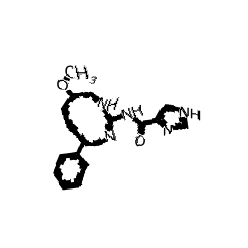 COc1ccc(-c2ccccc2)cnc(NC(=O)c2c[nH]cn2)[nH]c1